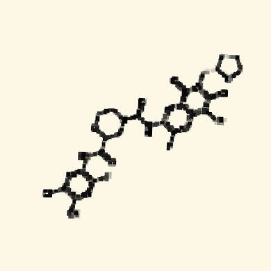 CC(C)n1c(=O)n(C[C@@H]2CCCO2)c(=O)c2cc(NC(=O)N3CCOC(C(=O)Nc4cc(Cl)c(C#N)cc4F)C3)c(F)cc21